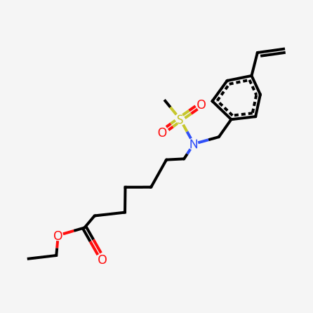 C=Cc1ccc(CN(CCCCCCC(=O)OCC)S(C)(=O)=O)cc1